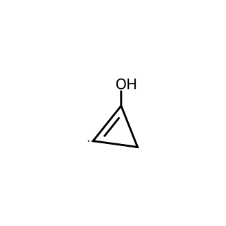 OC1=[C]C1